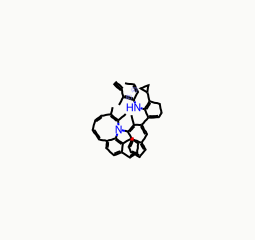 C#C/C(C)=C(\C=C/C)NC1=C(C2CC2)CCC=C1c1cc2ccccc2c(-n2c(C)c(C)ccccc3ccc4c(c32)CCC=C4)c1C